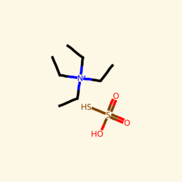 CC[N+](CC)(CC)CC.O=S(=O)(O)S